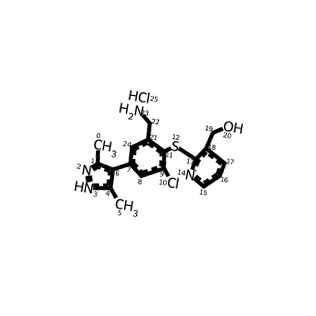 Cc1n[nH]c(C)c1-c1cc(Cl)c(Sc2ncccc2CO)c(CN)c1.Cl